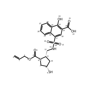 C=CCOC(=O)N1C[C@@H](S)C[C@H]1CNS(=O)(=O)c1cc(C(=O)O)c(O)c2ccccc12